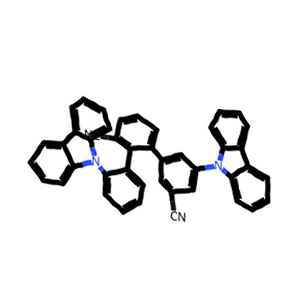 N#Cc1cc(-c2cccc(C#N)c2-c2ccccc2-n2c3ccccc3c3ccccc32)cc(-n2c3ccccc3c3ccccc32)c1